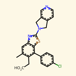 Cc1cc2nc(N3Cc4ccncc4C3)sc2c(-c2ccc(Cl)cc2)c1CC(=O)O